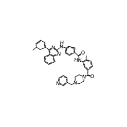 Cc1ccc(C(=O)N2CCN(Cc3cccnc3)CC2)cc1NC(=O)c1ccc(Nc2nc(C3=CC=CC(C)C3)c3ccccc3n2)cc1